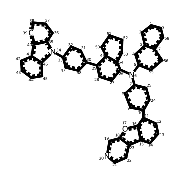 c1ccc2cc(N(c3ccc(-c4cccc5c4oc4cnccc45)cc3)c3ccc(-c4ccc(-n5c6ccccc6c6ccccc65)cc4)c4ccccc34)ccc2c1